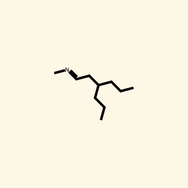 CCCC(C/C=N/C)CCC